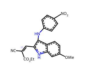 CCOC(=O)/C(C#N)=C\c1[nH]c2cc(OC)ccc2c1Nc1ccc([N+](=O)[O-])cc1